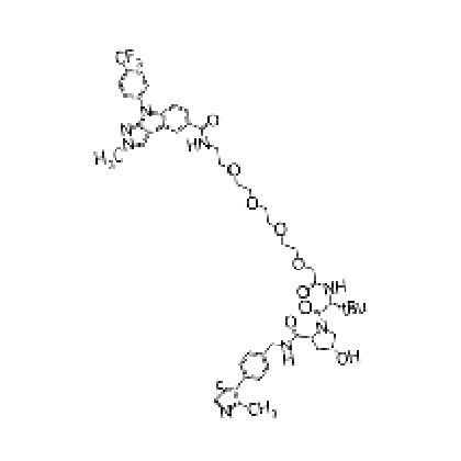 Cc1ncsc1-c1ccc(CNC(=O)[C@@H]2C[C@@H](O)CN2C(=O)[C@@H](NC(=O)COCCOCCOCCOCCNC(=O)c2ccc3c(c2)c2cn(C)nc2n3-c2ccc(C(F)(F)F)cc2)C(C)(C)C)cc1